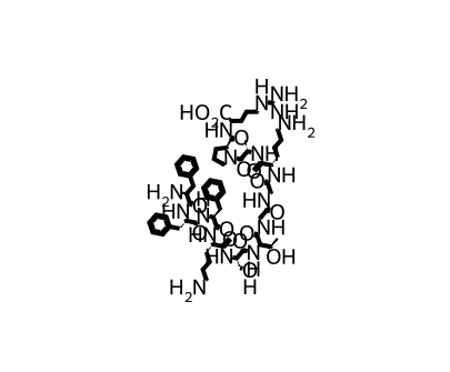 C[C@H](NC(=O)[C@H](CCCCN)NC(=O)CNC(=O)CNC(=O)[C@@H](NC(=O)[C@H](CO)NC(=O)[C@H](CCCCN)NC(=O)[C@H](Cc1ccccc1)NC(=O)[C@H](Cc1ccccc1)NC(=O)[C@@H](N)Cc1ccccc1)[C@@H](C)O)C(=O)N1CCC[C@H]1C(=O)N[C@@H](CCCNC(=N)N)C(=O)O